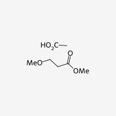 CC(=O)O.COCCC(=O)OC